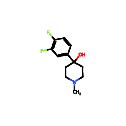 CN1CCC(O)(c2ccc(F)c(F)c2)CC1